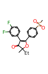 CCC1(C)OC(c2ccc(S(C)(=O)=O)cc2)=C(c2ccc(F)c(F)c2)C1=O